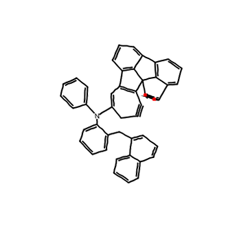 C1#CC2=C(C=C(N(c3ccccc3)c3ccccc3Cc3cccc4ccccc34)C1)c1cccc3c1C21c2ccccc2-c2cccc-3c21